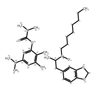 CCCCCCCC[S+]([O-])C(C)Cc1ccc2c(c1)OCO2.Cc1nc(N(C)C)nc(OC(=O)N(C)C)c1C